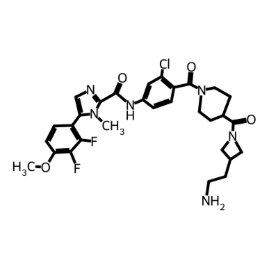 COc1ccc(-c2cnc(C(=O)Nc3ccc(C(=O)N4CCC(C(=O)N5CC(CCN)C5)CC4)c(Cl)c3)n2C)c(F)c1F